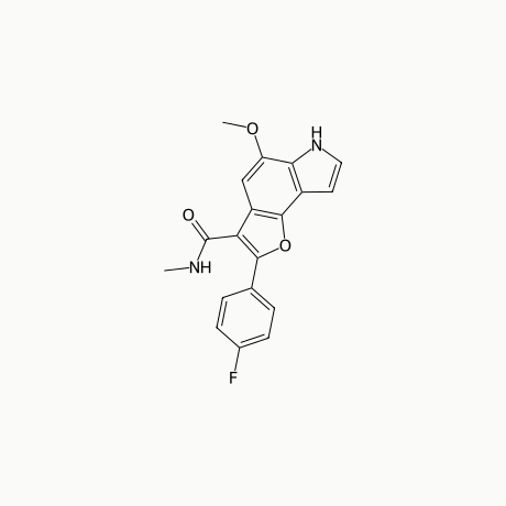 CNC(=O)c1c(-c2ccc(F)cc2)oc2c1cc(OC)c1[nH]ccc12